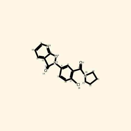 O=C(c1cc(-n2oc3ncccc3c2=O)ccc1Cl)N1CCCC1